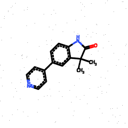 CC1(C)C(=O)Nc2ccc(-c3ccncc3)cc21